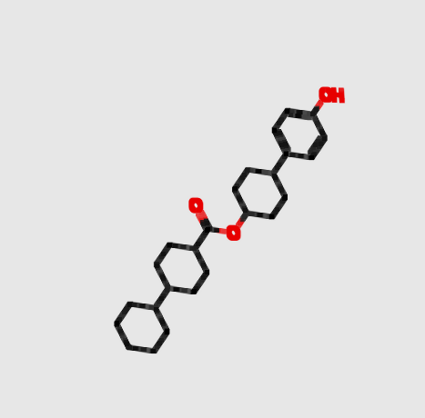 O=C(OC1CCC(c2ccc(O)cc2)CC1)C1CCC(C2CCCCC2)CC1